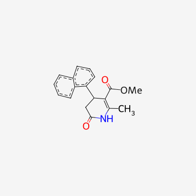 COC(=O)C1=C(C)NC(=O)CC1c1cccc2ccccc12